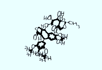 [2H]C([2H])([2H])Oc1cc([C@@H]2c3cc4c(cc3[C@@H](O[C@@H]3O[C@@H]5CO[C@@H](C)O[C@H]5[C@H](O)[C@H]3O)[C@H]3COC(=O)[C@H]23)OC([2H])([2H])O4)cc(OC([2H])([2H])[2H])c1O